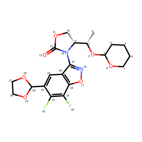 C[C@H](OC1CCCCO1)[C@H]1COC(=O)N1c1noc2c(F)c(F)c(C3OCCO3)cc12